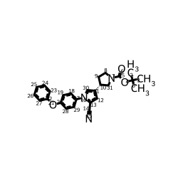 CC(C)(C)OC(=O)N1CC[C@@H](c2cc(C#N)n(-c3ccc(Oc4ccccc4)cc3)c2)C1